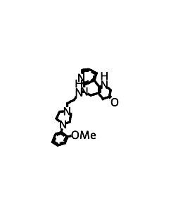 COc1ccccc1N1CCN(CCNN2CC3=C(NCC(=O)C3)c3cccnc32)CC1